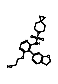 O=S(=O)(Nc1ncnc(OCCO)c1-c1ccc2c(c1)OCC2)N1CCC2(CC1)CC2